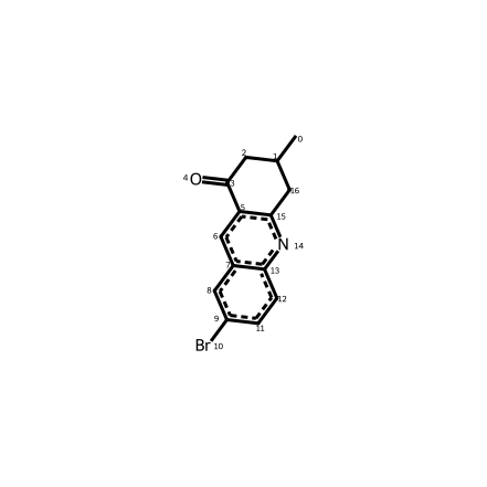 CC1CC(=O)c2cc3cc(Br)ccc3nc2C1